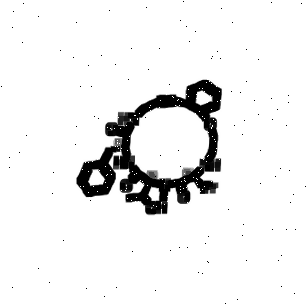 CC(C)[C@@H]1NCCOc2ccccc2C#CCNC(=O)[C@@H](Cc2ccccc2)NC(=O)[C@H](C(C)O)N(C)C1=O